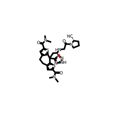 C[C@@H](CC1(c2nn[nH]n2)c2sc(C(=O)N(C)C)cc2CCc2cc(C(=O)N(C)C)sc21)NCC(=O)N1CCC[C@H]1C#N